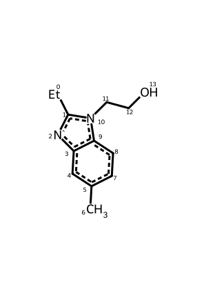 CCc1nc2cc(C)ccc2n1CCO